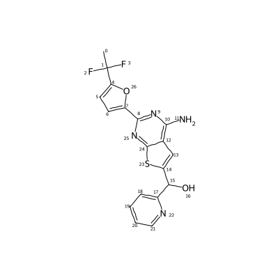 CC(F)(F)c1ccc(-c2nc(N)c3cc(C(O)c4ccccn4)sc3n2)o1